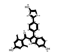 Cc1cc(O)cc(C)c1C(=O)c1sc2cc(O)ccc2c1-c1ccc(-c2nc(O)cs2)cc1